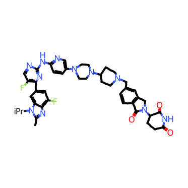 Cc1nc2c(F)cc(-c3nc(Nc4ccc(N5CCN(C6CCN(Cc7ccc8c(c7)CN(C7CCC(=O)NC7=O)C8=O)CC6)CC5)cn4)ncc3F)cc2n1C(C)C